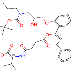 CCCN(CC(O)COc1ccccc1/C(=C/Cc1ccccc1)OC(=O)CCC(=O)N[C@H](C(=O)O)C(C)C)C(=O)OC(C)(C)C